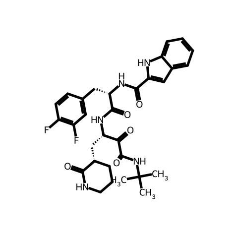 CC(C)(C)NC(=O)C(=O)[C@H](C[C@@H]1CCCNC1=O)NC(=O)[C@H](Cc1ccc(F)c(F)c1)NC(=O)c1cc2ccccc2[nH]1